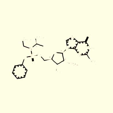 CCCC(C)CN([C@H](C)C(=O)O)[P@@](=O)(OC[C@H]1O[C@@H](n2cnc3c(=O)[nH]c(N)nc32)[C@H](OC)[C@@H]1O)Oc1ccccc1